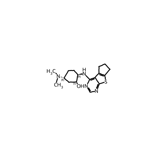 CN(C)[C@@H]1CC[C@@H](Nc2ncnc3sc4c(c23)CCC4)[C@@H](O)C1